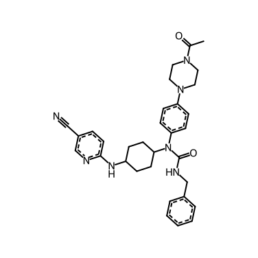 CC(=O)N1CCN(c2ccc(N(C(=O)NCc3ccccc3)C3CCC(Nc4ccc(C#N)cn4)CC3)cc2)CC1